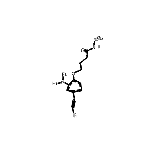 CCCCNC(=O)CCCOc1ccc(C#CC(C)C)cc1N(CC)CC